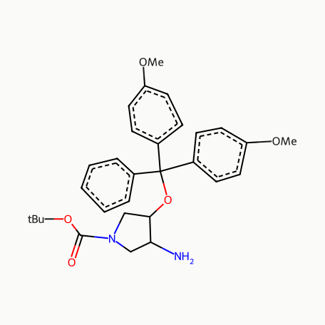 COc1ccc(C(OC2CN(C(=O)OC(C)(C)C)CC2N)(c2ccccc2)c2ccc(OC)cc2)cc1